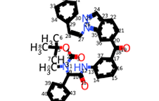 CN(C(=O)OC(C)(C)C)C(C(=O)Nc1cccc(C(=O)c2ccc3cnn(/C=C\c4ccccc4)c3c2)c1)c1ccccc1